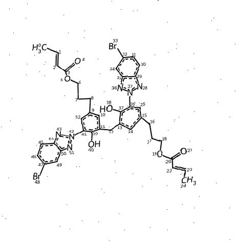 CC=CC(=O)OCCCc1cc(Cc2cc(CCCOC(=O)C=CC)cc(-n3nc4ccc(Br)cc4n3)c2O)c(O)c(-n2nc3ccc(Br)cc3n2)c1